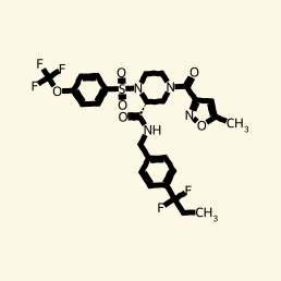 CCC(F)(F)c1ccc(CNC(=O)[C@H]2CN(C(=O)c3cc(C)on3)CCN2S(=O)(=O)c2ccc(OC(F)(F)F)cc2)cc1